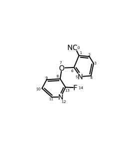 N#Cc1cccnc1Oc1cccnc1F